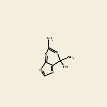 NC1=NC(N)(O)C2=NC=NC2=N1